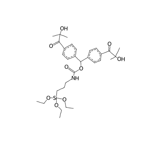 CCO[Si](CCCNC(=O)OC(c1ccc(C(=O)C(C)(C)O)cc1)c1ccc(C(=O)C(C)(C)O)cc1)(OCC)OCC